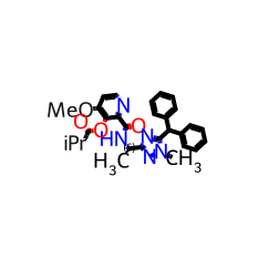 COc1ccnc(C(=O)N[C@@H](C)c2nc(C(c3ccccc3)c3ccccc3)n(C)n2)c1OC(=O)C(C)C